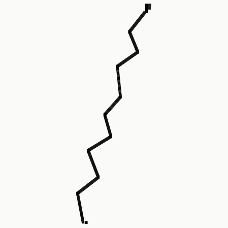 [CH2]CCCCCCCCCF